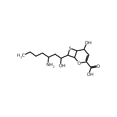 CCCCC(N)CC(O)C1SC2C(O)C=C(C(=O)O)OC21